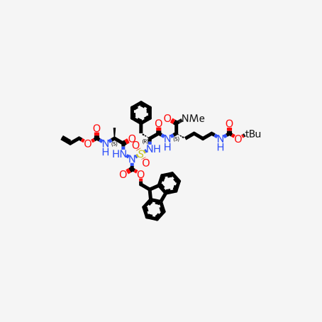 C=CCOC(=O)N[C@@H](C)C(=O)NN(C(=O)OCC1c2ccccc2-c2ccccc21)S(=O)(=O)N[C@H](Cc1ccccc1)C(=O)N[C@@H](CCCCNC(=O)OC(C)(C)C)C(=O)NC